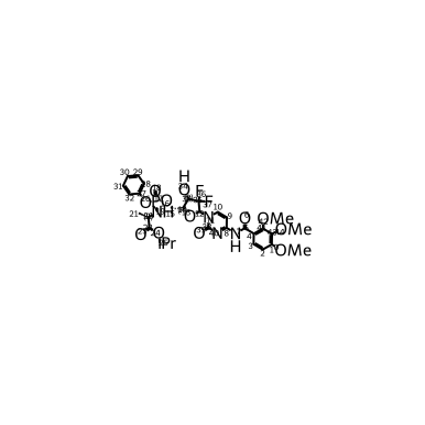 COc1ccc(C(=O)Nc2ccn(C3O[C@H](COP(=O)(N[C@H](C)C(=O)OC(C)C)Oc4ccccc4)[C@@H](O)C3(F)F)c(=O)n2)c(OC)c1OC